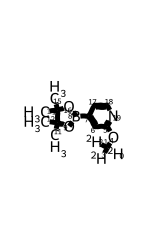 [2H]C([2H])([2H])Oc1cc(B2OC(C)(C)C(C)(C)O2)ccn1